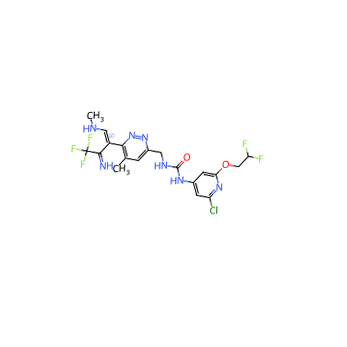 CN/C=C(\C(=N)C(F)(F)F)c1nnc(CNC(=O)Nc2cc(Cl)nc(OCC(F)F)c2)cc1C